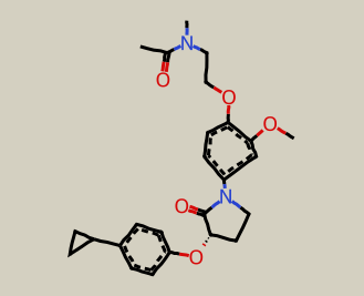 COc1cc(N2CC[C@H](Oc3ccc(C4CC4)cc3)C2=O)ccc1OCCN(C)C(C)=O